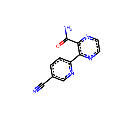 N#Cc1ccc(-c2nccnc2C(N)=O)nc1